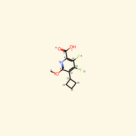 COc1nc(C(=O)O)c(F)c(F)c1C1CCC1